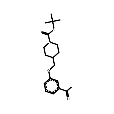 CC(C)(C)OC(=O)N1CCC(COc2cccc(C(=O)Cl)c2)CC1